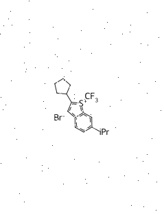 CC(C)c1ccc2cc(C3CCCC3)[s+](C(F)(F)F)c2c1.[Br-]